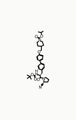 CC(C)OC(=O)N1CCC(COc2ccc(-c3ccc(C[C@H](NC(=O)OC(C)(C)C)C(=O)N4CCC[C@H]4C#N)cc3)cc2)CC1